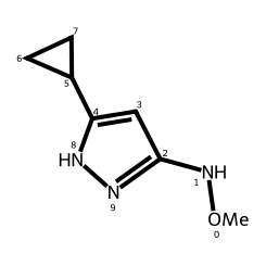 [CH2]ONc1cc(C2CC2)[nH]n1